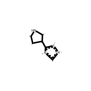 c1nsc(C2CCNC2)n1